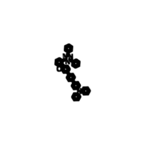 c1ccc(-c2nc(-c3ccccc3)nc(-c3cccc4oc5cc(-c6ccc(-c7ccc(N(c8ccccc8)c8ccccc8)cc7)cc6)ccc5c34)n2)cc1